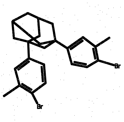 Cc1cc(C23CC4CC(C2)CC(c2ccc(Br)c(C)c2)(C4)C3)ccc1Br